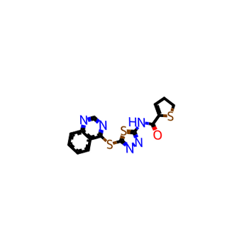 O=C(Nc1nnc(Sc2ncnc3ccccc23)s1)C1=CCCS1